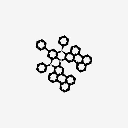 c1ccc(-c2cc3c4c(c2)N(c2ccccc2)c2c(cc5c6cccc7cccc(c8cccc2c85)c76)B4c2cc4c5cccc6cccc(c7cccc(c2N3c2ccccc2)c74)c65)cc1